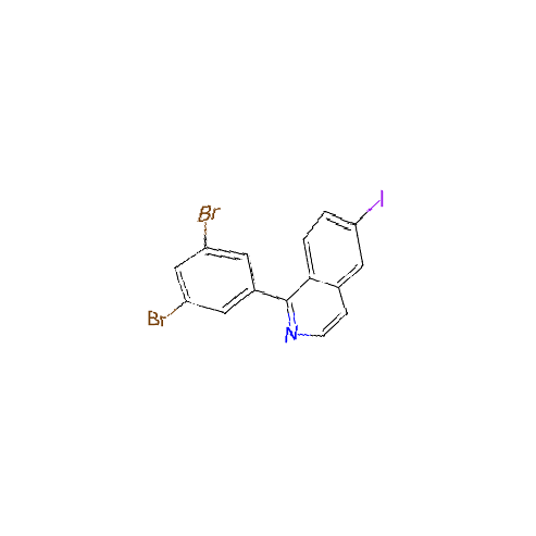 Brc1cc(Br)cc(-c2nccc3cc(I)ccc23)c1